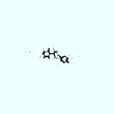 COc1nc(Cl)c(-c2noc(-c3cc(O)c(O)c([N+](=O)[O-])c3)n2)c(OC)c1Cl